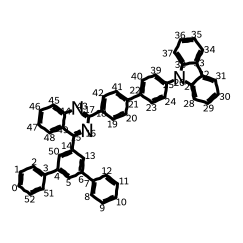 c1ccc(-c2cc(-c3ccccc3)cc(-c3nc(-c4ccc(-c5ccc(-n6c7ccccc7c7ccccc76)cc5)cc4)nc4ccccc34)c2)cc1